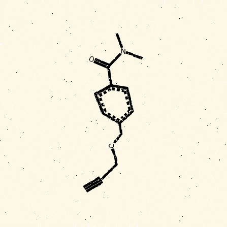 C#CCOCc1ccc(C(=O)N(C)C)cc1